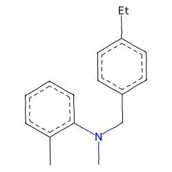 CCc1ccc(CN(C)c2ccccc2C)cc1